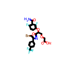 NC(=O)c1c(F)ccc(OC(COCC(=O)O)c2nc(-c3ccc(C(F)(F)F)cc3)c(Br)o2)c1F